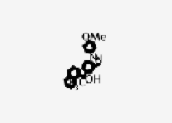 COc1ccc(-n2ncc3cc(C(O)(c4cccc5ccccc45)C(F)(F)F)ccc32)cc1